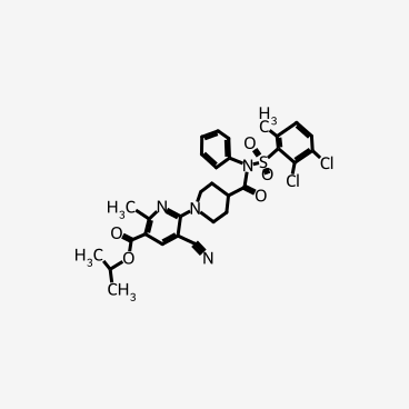 Cc1ccc(Cl)c(Cl)c1S(=O)(=O)N(C(=O)C1CCN(c2nc(C)c(C(=O)OC(C)C)cc2C#N)CC1)c1ccccc1